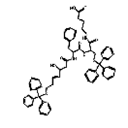 O=C(O)CCCCNC(=O)C(CSC(c1ccccc1)(c1ccccc1)c1ccccc1)NC(=O)C(Cc1ccccc1)NC(=O)CC(O)C=CCCSC(c1ccccc1)(c1ccccc1)c1ccccc1